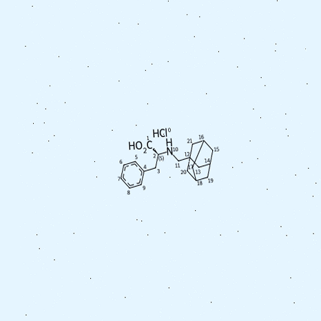 Cl.O=C(O)[C@H](Cc1ccccc1)NCC12CC3CC(CC(C3)C1)C2